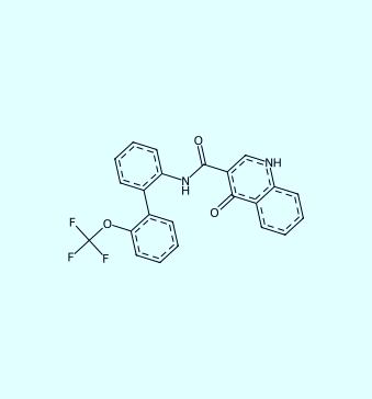 O=C(Nc1ccccc1-c1ccccc1OC(F)(F)F)c1c[nH]c2ccccc2c1=O